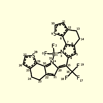 F[B-]1(F)n2c(cc3c2-c2sccc2CC3)C(C(F)(F)F)=C2C=C3CCc4ccsc4C3=[N+]21